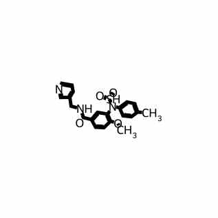 COc1ccc(C(=O)NCc2cccnc2)cc1N(c1ccc(C)cc1)[SH](=O)=O